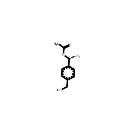 C[C@H](OC(N)=O)c1ccc(CO)cc1